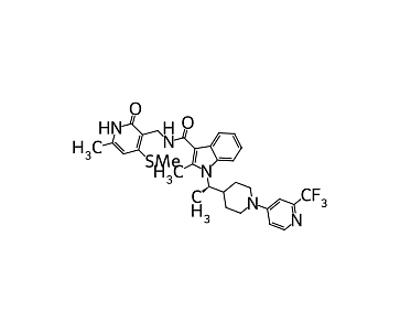 CSc1cc(C)[nH]c(=O)c1CNC(=O)c1c(C)n([C@H](C)C2CCN(c3ccnc(C(F)(F)F)c3)CC2)c2ccccc12